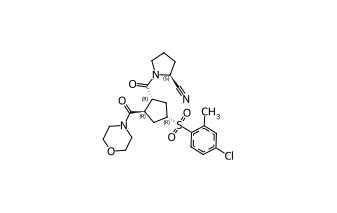 Cc1cc(Cl)ccc1S(=O)(=O)[C@@H]1C[C@@H](C(=O)N2CCOCC2)[C@H](C(=O)N2CCC[C@H]2C#N)C1